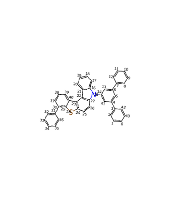 c1ccc(-c2cc(-c3ccccc3)cc(-n3c4ccccc4c4c5c(ccc43)sc3c(-c4ccccc4)cccc35)c2)cc1